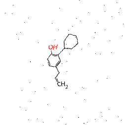 C=CCc1ccc(O)c(C2CCCCC2)c1